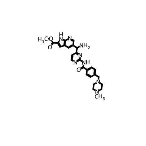 COC(=O)c1cc2cc(C(N)c3ccnc(NC(=O)c4ccc(CN5CCN(C)CC5)cc4)n3)cnc2[nH]1